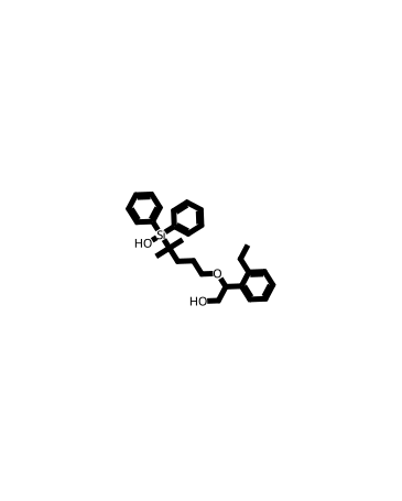 CCc1ccccc1C(CO)OCCCC(C)(C)[Si](O)(c1ccccc1)c1ccccc1